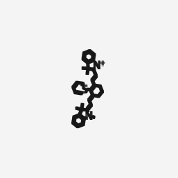 CN1/C(=C/C=C2\CCCC(/C=C/C3=[N+](C)c4ccccc4C3(C)C)=C2S2=CC=CC=C2)C(C)(C)c2ccccc21